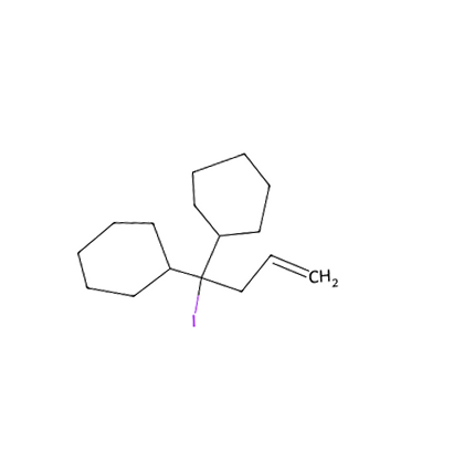 C=CCC(I)(C1CCCCC1)C1CCCCC1